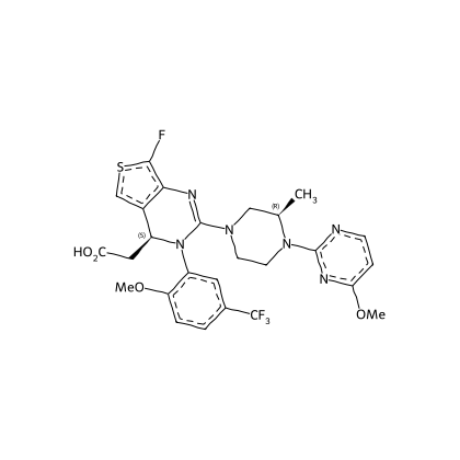 COc1ccnc(N2CCN(C3=Nc4c(csc4F)[C@H](CC(=O)O)N3c3cc(C(F)(F)F)ccc3OC)C[C@H]2C)n1